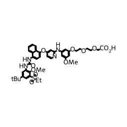 CCS(=O)(=O)c1cc(C(C)(C)C)cc(NC(=O)Nc2ccc(Oc3ccnc(Nc4cc(OC)cc(OCCOCCOCC(=O)O)c4)c3)c3ccccc23)c1OC